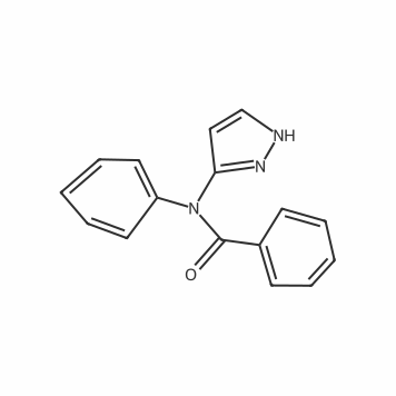 O=C(c1ccccc1)N(c1ccccc1)c1cc[nH]n1